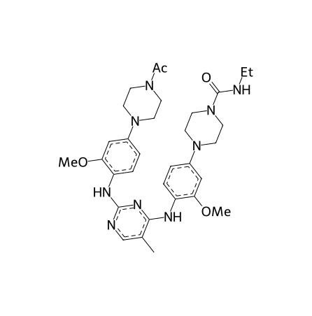 CCNC(=O)N1CCN(c2ccc(Nc3nc(Nc4ccc(N5CCN(C(C)=O)CC5)cc4OC)ncc3C)c(OC)c2)CC1